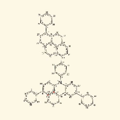 c1ccc(-c2ccc(N(c3ccc(-c4ccc5ccc6c(-c7ccccc7)ccc7ccc4c5c76)cc3)c3ccc(-c4ccccc4)cc3-c3ccccc3)cc2)cc1